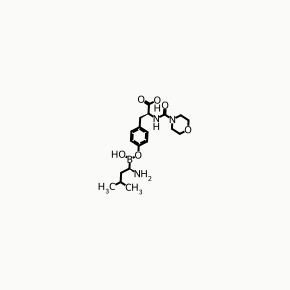 CC(C)C[C@H](N)B(O)Oc1ccc(C[C@H](NC(=O)N2CCOCC2)C(=O)O)cc1